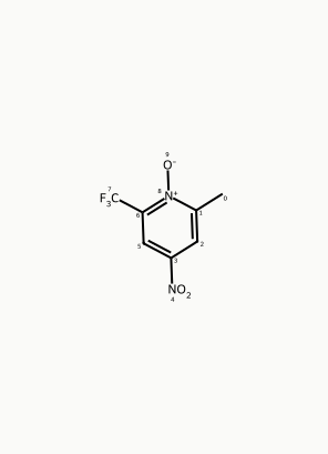 Cc1cc([N+](=O)[O-])cc(C(F)(F)F)[n+]1[O-]